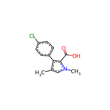 Cc1cn(C)c(C(=O)O)c1-c1ccc(Cl)cc1